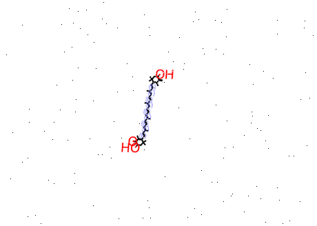 C=C1C(C)=C(/C=C/C(C)=C/C=C/C(C)=C/C=C/C=C(C)/C=C/C=C(C)/C=C/C2=C(C)C(=O)C(O)CC2(C)C)C(C)(C)CC1O